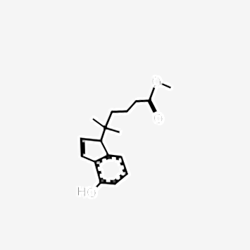 COC(=O)CCCC(C)(C)C1C=Cc2c(O)cccc21